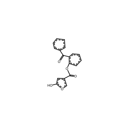 O=C(Oc1ccccc1C(=O)c1ccccc1)c1coc(O)c1